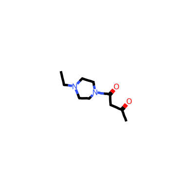 CCN1CCN(C(=O)CC(C)=O)CC1